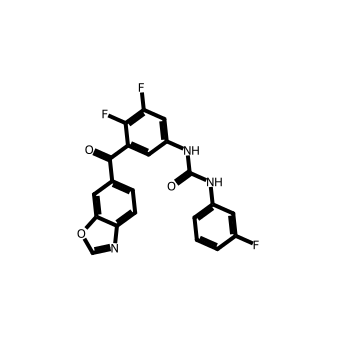 O=C(Nc1cccc(F)c1)Nc1cc(F)c(F)c(C(=O)c2ccc3ncoc3c2)c1